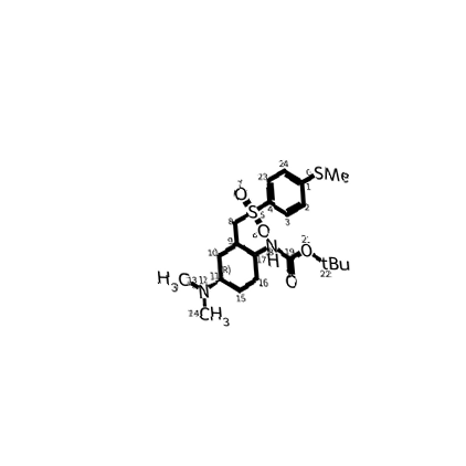 CSc1ccc(S(=O)(=O)CC2C[C@H](N(C)C)CCC2NC(=O)OC(C)(C)C)cc1